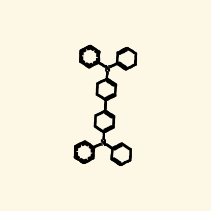 C1=CC(N(C2=CC=C(C3=CC=C(N(C4=CCCC=C4)c4ccccc4)CC3)CC2)c2ccccc2)=CCC1